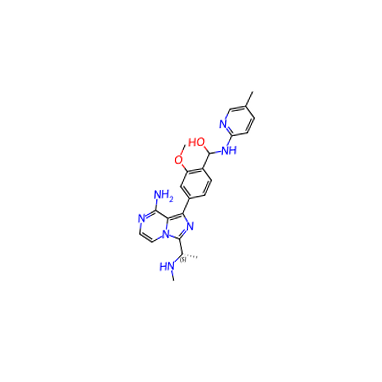 CN[C@@H](C)c1nc(-c2ccc(C(O)Nc3ccc(C)cn3)c(OC)c2)c2c(N)nccn12